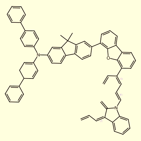 C=C/C=c1\c(=C)n(/C=C/C=C(\C=C)c2cccc3c2oc2c(-c4ccc5c(c4)C(C)(C)c4cc(N(C6=CCC(c7ccccc7)C=C6)c6ccc(-c7ccccc7)cc6)ccc4-5)cccc23)c2ccccc12